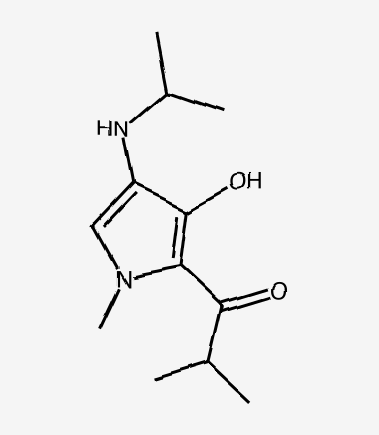 CC(C)Nc1cn(C)c(C(=O)C(C)C)c1O